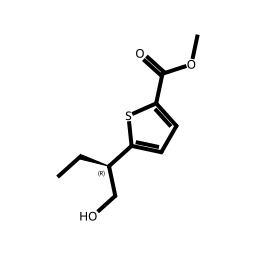 CC[C@H](CO)c1ccc(C(=O)OC)s1